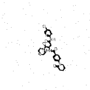 O=C(CC(NC(=O)c1ccc(N2CCCCC2=O)cc1)C(=O)N1CCOCC1)Nc1ccc(Cl)cn1